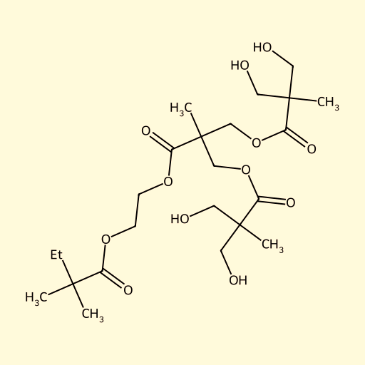 CCC(C)(C)C(=O)OCCOC(=O)C(C)(COC(=O)C(C)(CO)CO)COC(=O)C(C)(CO)CO